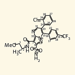 COCC(C)NC(=O)c1c(S(N)(=O)=O)nn2c(-c3ccc(C(F)(F)F)cc3)c(-c3ccccc3Cl)cnc12